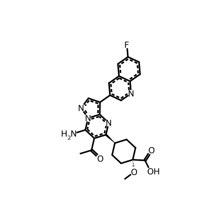 CO[C@]1(C(=O)O)CC[C@@H](c2nc3c(-c4cnc5ccc(F)cc5c4)cnn3c(N)c2C(C)=O)CC1